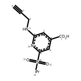 C#CCNc1cc(C(=O)O)cc(S(=O)(=O)C(C)C)n1